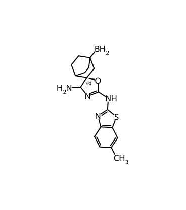 BC12CCC(CC1)[C@@]1(C2)OC(Nc2nc3ccc(C)cc3s2)=NC1N